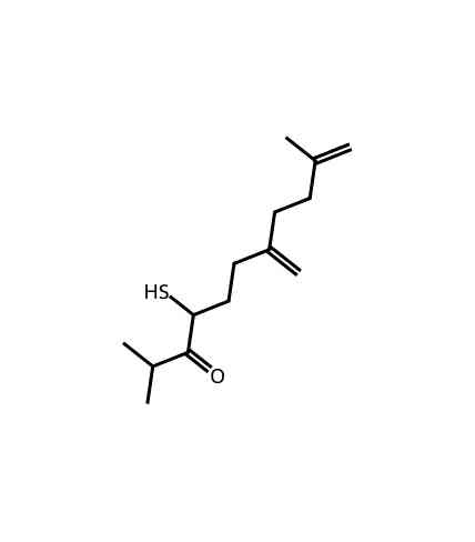 C=C(C)CCC(=C)CCC(S)C(=O)C(C)C